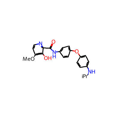 COc1ccnc(C(=O)Nc2ccc(Oc3ccc(NC(C)C)cc3)cc2)c1O